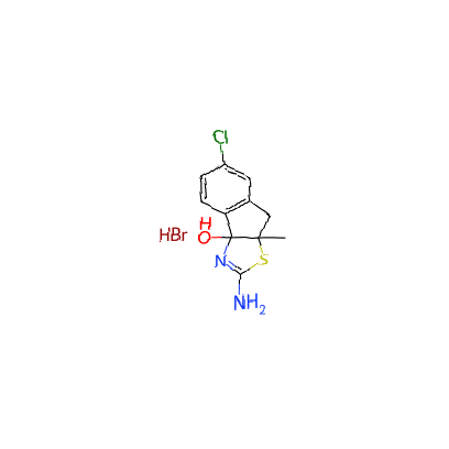 Br.CC12Cc3cc(Cl)ccc3C1(O)N=C(N)S2